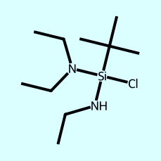 CCN[Si](Cl)(N(CC)CC)C(C)(C)C